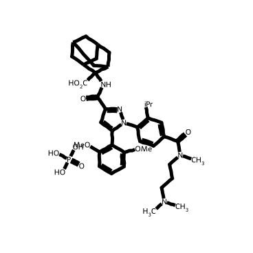 COc1cccc(OC)c1-c1cc(C(=O)NC2(C(=O)O)C3CC4CC(C3)CC2C4)nn1-c1ccc(C(=O)N(C)CCCN(C)C)cc1C(C)C.O=P(O)(O)O